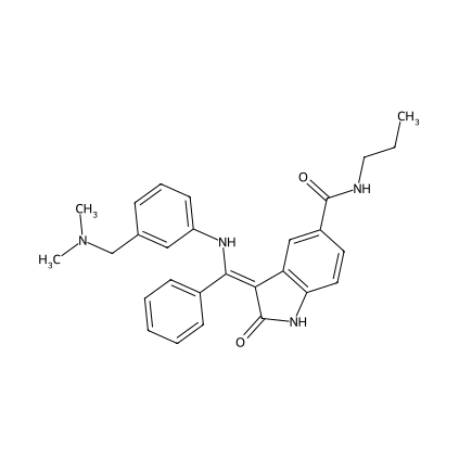 CCCNC(=O)c1ccc2c(c1)C(=C(Nc1cccc(CN(C)C)c1)c1ccccc1)C(=O)N2